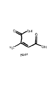 CC(=CC(=O)O)C(=O)O.[NaH]